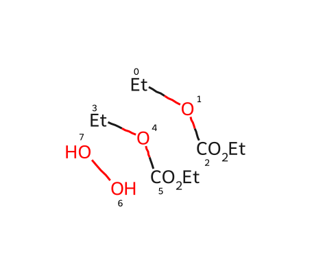 CCOC(=O)OCC.CCOC(=O)OCC.OO